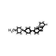 CN1CCN(c2ccc(-c3ccc4nc5n(c4n3)CCC5)cc2)CC1